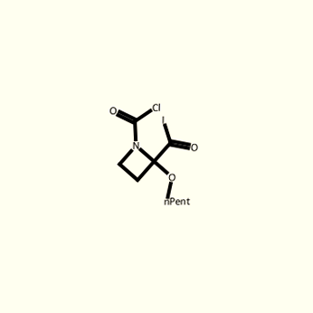 CCCCCOC1(C(=O)I)CCN1C(=O)Cl